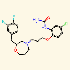 NC(=O)Nc1cc(Cl)ccc1OCCCN1CCCOC(Cc2ccc(F)c(F)c2)C1